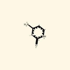 Nc1[c]c[nH]c(=O)n1